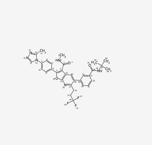 CNC(=O)c1c(-c2ccc(-n3cnnc3C)cc2)oc2nc(CCC(F)(F)F)c(-c3cccc(C(=O)NC(C)(C)C)c3)cc12